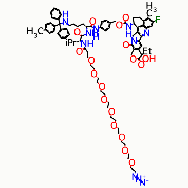 CC[C@@]1(O)C(=O)OCc2c1cc1n(c2=O)Cc2c-1nc1cc(F)c(C)c3c1c2[C@@H](NC(=O)OCc1ccc(NC(=O)[C@H](CCCCNC(c2ccccc2)(c2ccccc2)c2ccc(C)cc2)NC(=O)[C@@H](NC(=O)CCOCCOCCOCCOCCOCCOCCOCCOCCOCCN=[N+]=[N-])C(C)C)cc1)CC3